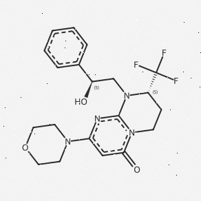 O=c1cc(N2CCOCC2)nc2n1CC[C@@H](C(F)(F)F)N2C[C@@H](O)c1ccccc1